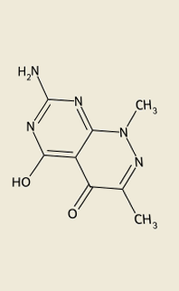 Cc1nn(C)c2nc(N)nc(O)c2c1=O